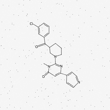 Cn1c(N2CCCC(C(=O)c3cccc(Cl)c3)C2)nc(-c2ccncc2)cc1=O